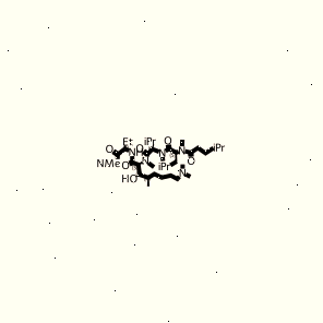 CC[C@H](NC(=O)[C@H]([C@@H](O)[C@H](C)CCCCN(C)C)N(C)C(=O)[C@H](C(C)C)N(C)C(=O)[C@H](CC(C)C)N(C)C(=O)CCC(C)C)C(=O)NC